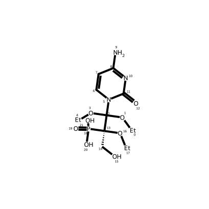 CCOC(OCC)(n1ccc(N)nc1=O)[C@@](CO)(OCC)P(=O)(O)O